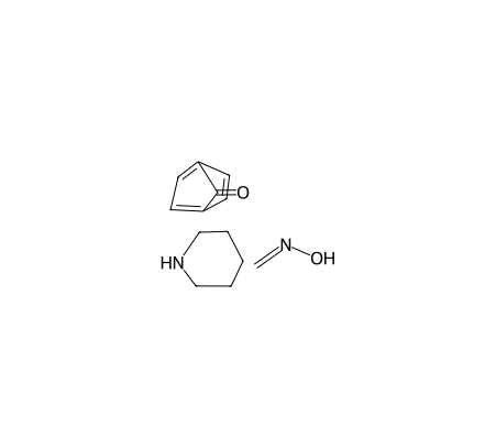 C1CCNCC1.C=NO.O=C1C2=CC=C1C=C2